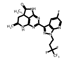 C=C1C[C@@]2(C)C(=O)Nc3nc(-c4nn(CCC(F)(F)C(F)(F)F)c5ncc(F)cc45)nc(c32)N1